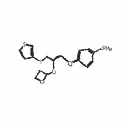 CSc1ccc(OCC(CSc2ccsc2)OC2CCO2)cc1